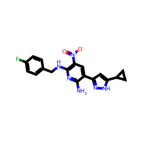 Nc1nc(NCc2ccc(F)cc2)c([N+](=O)[O-])cc1-c1cc(C2CC2)[nH]n1